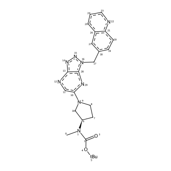 CN(C(=O)OC(C)(C)C)[C@@H]1CCN(c2cnc3nnn(Cc4ccc5ncccc5c4)c3n2)C1